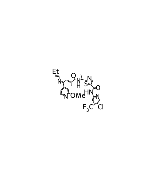 CC/C=C/N=C(\C=C(/C)C(=O)NC(C)c1ncc(C(=O)Nc2cc(C(F)(F)F)c(Cl)cn2)s1)c1ccnc(OC)c1